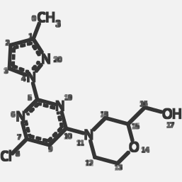 Cc1ccn(-c2nc(Cl)cc(N3CCOC(CO)C3)n2)n1